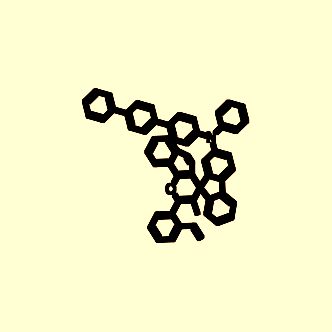 C=Cc1ccccc1C1=C(C)C2(c3ccccc3-c3ccc(N(c4ccccc4)c4ccc(-c5ccc(-c6ccccc6)cc5)cc4)cc32)c2ccc3ccccc3c2O1